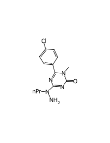 CCCN(N)c1nc(-c2ccc(Cl)cc2)n(C)c(=O)n1